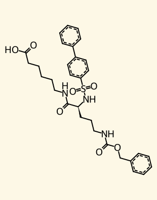 O=C(O)CCCCCNC(=O)[C@H](CCCNC(=O)OCc1ccccc1)NS(=O)(=O)c1ccc(-c2ccccc2)cc1